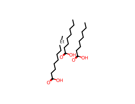 CCC.CCCCCCCC(=O)O.CCCCCCCC(=O)O.CCCCCCCC(=O)O